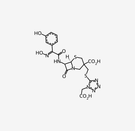 O=C(O)Cn1nnnc1SCC1(C(=O)O)CS[C@@H]2C(NC(=O)C(=NO)c3cccc(O)c3)C(=O)N2C1